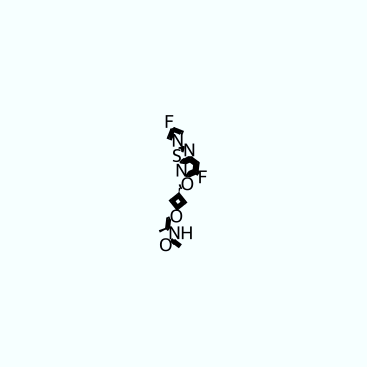 CC(=O)N[C@@H](C)CO[C@H]1C[C@H](COc2nc3sc(N4CC(F)C4)nc3cc2F)C1